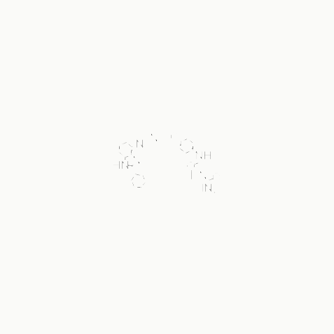 CCc1ccc(-c2nc3c(N4CCN(CCOc5ccc(NC(=O)CNC(=O)NC(C)(C)C)cc5)CC4)cccc3[nH]2)cc1